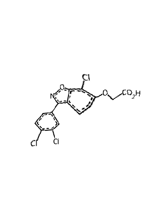 O=C(O)COc1ccc2c(-c3ccc(Cl)c(Cl)c3)noc2c1Cl